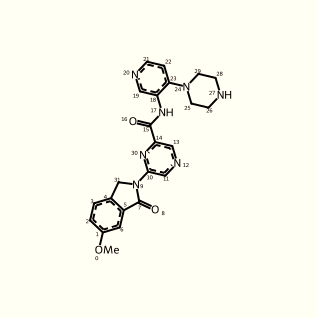 COc1ccc2c(c1)C(=O)N(c1cncc(C(=O)Nc3cnccc3N3CCNCC3)n1)C2